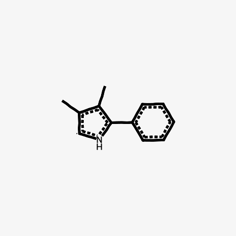 Cc1[c][nH]c(-c2ccccc2)c1C